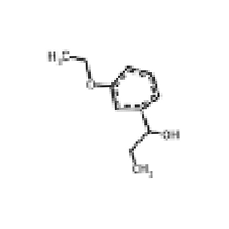 CCOc1cccc(C(O)CC)c1